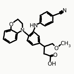 COCC(CC(=O)O)c1ccc(N2CCOc3ccccc32)c(Nc2ccc(C#N)cc2)c1